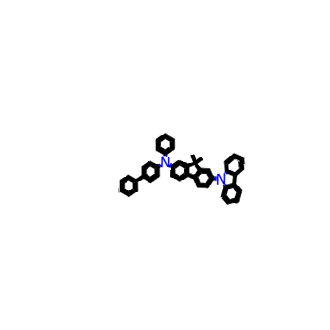 CC1(C)c2cc(N(c3ccccc3)c3ccc(-c4ccccc4)cc3)ccc2-c2ccc(N3c4ccccc4C4C=CC=CC43)cc21